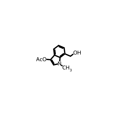 CC(=O)Oc1cn(C)c2c(CO)cccc12